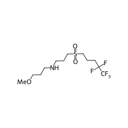 COCCCNCCCS(=O)(=O)CCCC(F)(F)C(F)(F)F